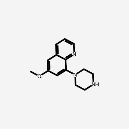 COc1cc(N2CCNCC2)c2ncccc2c1